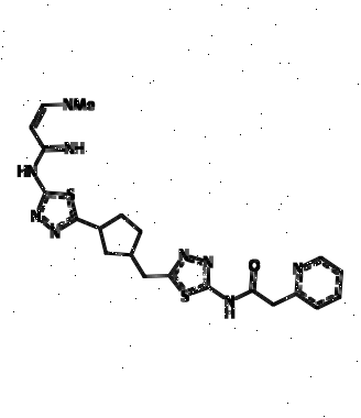 CN/C=C\C(=N)Nc1nnc(C2CCC(Cc3nnc(NC(=O)Cc4ccccn4)s3)C2)s1